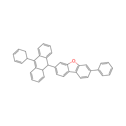 C1=CCC(C2=C3C=CC=CC3C(c3ccc4c(c3)oc3cc(-c5ccccc5)ccc34)c3ccccc32)C=C1